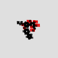 COc1ccc([C@@H]2O[C@H](CO)[C@@H](O)[C@H](O)[C@H]2O)cc1OC1CCC(=C2CCCC2)CC1